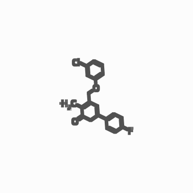 [CH2]C1=C(COc2cccc(Cl)c2)C=C(c2ccc(F)cc2)CC1=O